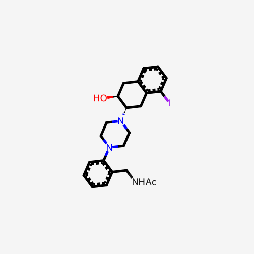 CC(=O)NCc1ccccc1N1CCN([C@H]2Cc3c(I)cccc3C[C@@H]2O)CC1